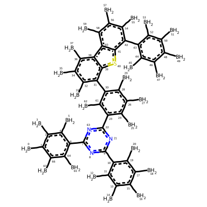 Bc1c(B)c(B)c(-c2nc(-c3c(B)c(B)c(B)c(B)c3B)nc(-c3c(B)c(B)c(B)c(-c4c(B)c(B)c(B)c5c4sc4c(-c6c(B)c(B)c(B)c(B)c6B)c(B)c(B)c(B)c45)c3B)n2)c(B)c1B